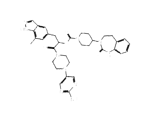 Cc1cc(CC(OC(=O)N2CCC(N3CCc4ccccc4NC3=O)CC2)C(=O)N2CCN(c3cnc(N)nc3)CC2)cc2cn[nH]c12